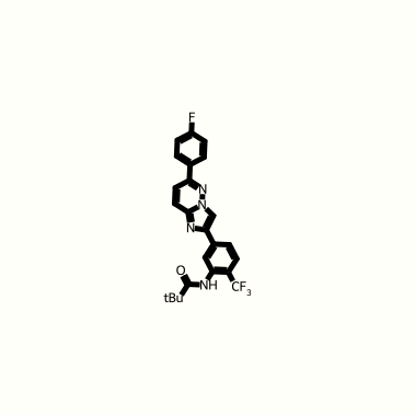 CC(C)(C)C(=O)Nc1cc(-c2cn3nc(-c4ccc(F)cc4)ccc3n2)ccc1C(F)(F)F